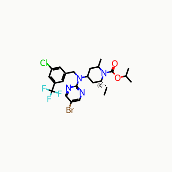 CC[C@@H]1CC(N(Cc2cc(Cl)cc(C(F)(F)F)c2)c2ncc(Br)cn2)CC(C)N1C(=O)OC(C)C